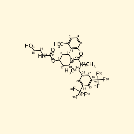 Cc1ccccc1[C@H]1C[C@H](OC(=O)NCCO)CCN1C(=O)N(C)[C@@H](C)c1cc(C(F)(F)F)cc(C(F)(F)F)c1